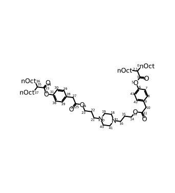 CCCCCCCCC(CCCCCCCC)C(=O)Oc1ccc(CC(=O)OCCCN2CCN(CCCOC(=O)Cc3ccc(OC(=O)C(CCCCCCCC)CCCCCCCC)cc3)CC2)cc1